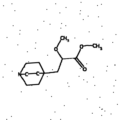 COC(=O)C(CC12CCN(CC1)CC2)OC